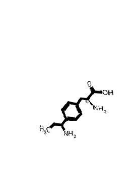 CCC(N)c1ccc(C[C@H](N)C(=O)O)cc1